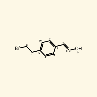 ON=Cc1ccc(CCBr)cc1